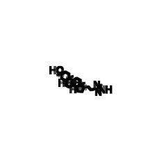 C[C@@]1(O)CC[C@@]2(C)[C@@H](CC[C@@H]3[C@@H]2CC[C@]2(C)[C@@H](CCc4nc[nH]n4)CC[C@@H]32)C1